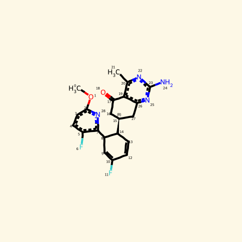 COc1ccc(F)c(C2C=C(F)C=CC2[C@H]2CC(=O)c3c(C)nc(N)nc3C2)n1